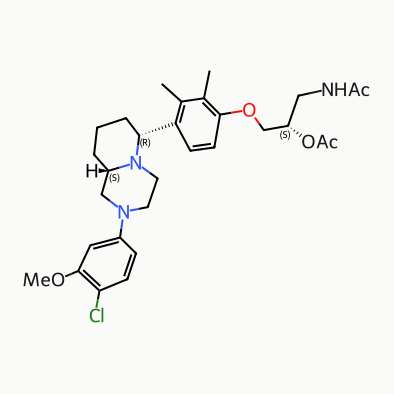 COc1cc(N2CCN3[C@@H](CCC[C@@H]3c3ccc(OC[C@H](CNC(C)=O)OC(C)=O)c(C)c3C)C2)ccc1Cl